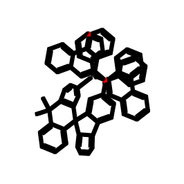 CC1(C)c2ccccc2C2(c3ccccc3-c3ccc(N(c4ccccc4)c4cc5ccccc5c5ccccc45)cc32)c2cc(N(c3ccccc3)c3cc4ccccc4c4ccccc34)ccc21